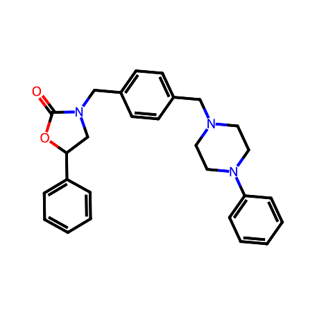 O=C1OC(c2ccccc2)CN1Cc1ccc(CN2CCN(c3ccccc3)CC2)cc1